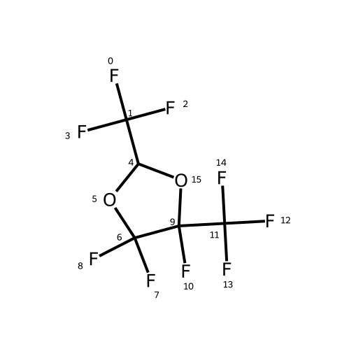 FC(F)(F)C1OC(F)(F)C(F)(C(F)(F)F)O1